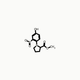 COC(=O)C1CCCN1c1ccc(O)cc1[N+](=O)[O-]